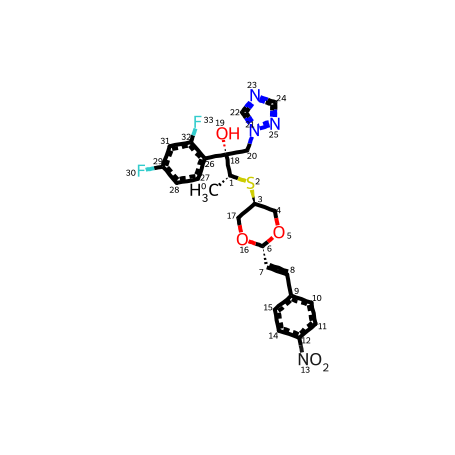 C[C@@H](S[C@H]1CO[C@H](C=Cc2ccc([N+](=O)[O-])cc2)OC1)[C@](O)(Cn1cncn1)c1ccc(F)cc1F